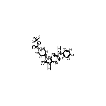 CC(C)(C)OC(=O)N1CCC(n2c(=O)[nH]c3cnc(Nc4ccccc4)nc32)CC1